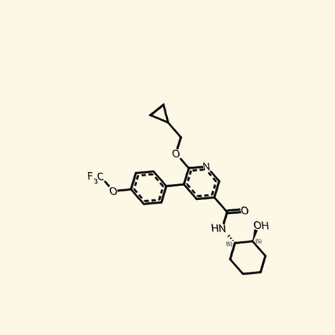 O=C(N[C@H]1CCCC[C@@H]1O)c1cnc(OCC2CC2)c(-c2ccc(OC(F)(F)F)cc2)c1